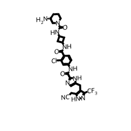 N#CCc1[nH]nc(C(F)(F)F)c1Cc1cnc(C(=O)Nc2ccc(C(=O)NC3CC(NC(=O)N4CCC[C@H](N)C4)C3)c(Cl)c2)[nH]1